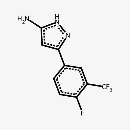 Nc1cc(-c2ccc(F)c(C(F)(F)F)c2)n[nH]1